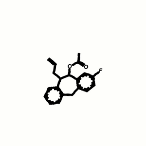 C=CCC1c2ccccc2Cc2ccc(F)cc2C1OC(C)=O